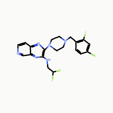 Fc1ccc(CN2CCN(c3nc4ccncc4nc3NCC(F)F)CC2)c(F)c1